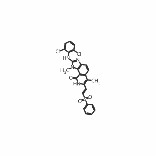 Cc1c(C=CS(=O)(=O)c2ccccc2)[nH]c(=O)c2c1ccc1nc(Nc3c(Cl)cccc3Cl)n(C)c12